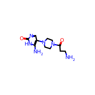 NCCC(=O)N1CCN(c2cnc(=O)[nH]c2N)CC1